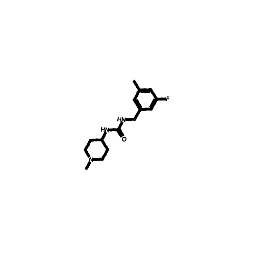 Cc1cc(F)cc(CNC(=O)NC2CCN(C)CC2)c1